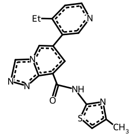 CCc1ccncc1-c1cc(C(=O)Nc2nc(C)cs2)c2nncn2c1